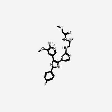 COCC(=O)N[C@@H](C)CNc1nccc(-c2[nH]c(-c3ccc(F)cc3)nc2-c2cnc(N)c(OC)c2)n1